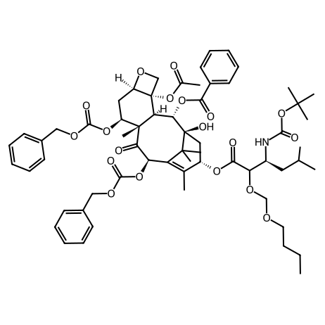 CCCCOCOC(C(=O)O[C@H]1C[C@@]2(O)[C@@H](OC(=O)c3ccccc3)[C@@H]3[C@]4(OC(C)=O)CO[C@@H]4C[C@H](OC(=O)OCc4ccccc4)[C@@]3(C)C(=O)[C@H](OC(=O)OCc3ccccc3)C(=C1C)C2(C)C)[C@H](CC(C)C)NC(=O)OC(C)(C)C